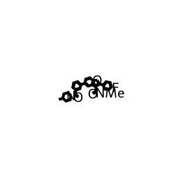 CNC(=O)c1c(-c2ccc(F)cc2)oc2ccc(-c3cccc(C(=O)N4CCC(C)CC4)c3)cc12